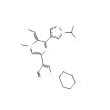 CC/C=C1/C(c2cnn(C(CC)CC)c2)=NC(/C(C=N)=C/N[C@H]2CC[C@@H](O)CC2)=CN1C